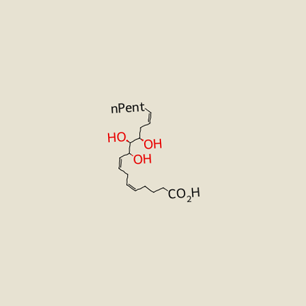 CCCCC/C=C\C[C@@H](O)[C@H](O)C(O)/C=C\C/C=C\CCCC(=O)O